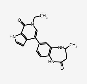 CCn1cc(-c2ccc3c(c2)NC(C)CC(=O)N3)c2cc[nH]c2c1=O